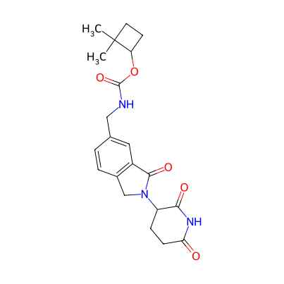 CC1(C)CCC1OC(=O)NCc1ccc2c(c1)C(=O)N(C1CCC(=O)NC1=O)C2